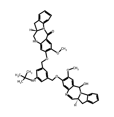 COc1cc2c(cc1OCc1cc(COc3cc4c(cc3OC)C(=O)N3c5ccccc5C[C@H]3CN4)cc(NC(C)(C)C)c1)N=C[C@@H]1Cc3ccccc3N1C2O